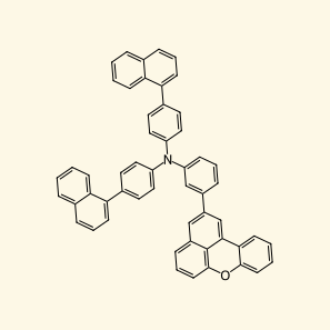 c1cc(-c2cc3c4c(cccc4c2)Oc2ccccc2-3)cc(N(c2ccc(-c3cccc4ccccc34)cc2)c2ccc(-c3cccc4ccccc34)cc2)c1